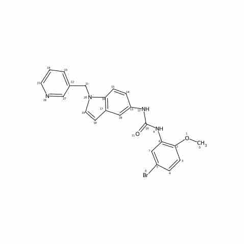 COc1ccc(Br)cc1NC(=O)Nc1ccc2c(ccn2Cc2cccnc2)c1